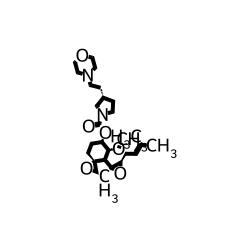 CO[C@H]1C([C@@]2(C)O[C@@H]2CC=C(C)C)[C@]2(CC[C@H]1OC(=O)N1CC[C@@H](CCN3CCOCC3)C1)CO2